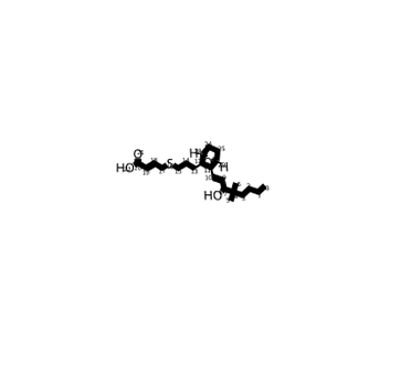 CCCCC(C)(C)C(O)/C=C/[C@H]1[C@@H](CCCSCC=CC(=O)O)[C@H]2CC[C@@H]1O2